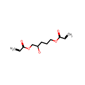 C=CC(=O)OCCCC([O])COC(=O)C=C